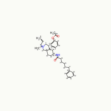 C=CC[N@@+]1(C)CC[C@@]2(c3cccc(OC(C)=O)c3)C[C@H](NC(=O)CCCCCc3ccccc3)CCC2C1